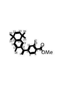 C=C(c1ccc(C(=O)OC)c(F)c1)c1cc2c(cc1C)C(C)(C)C=CC2(C)C